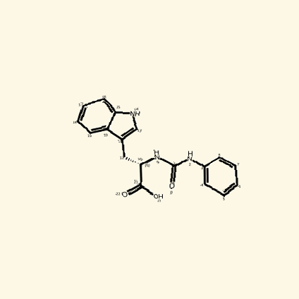 O=C(Nc1ccccc1)N[C@@H](Cc1c[nH]c2ccccc12)C(=O)O